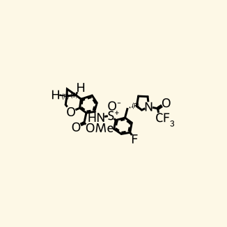 COC(=O)c1c(N[S+]([O-])c2ccc(F)cc2C[C@@H]2CCN(C(=O)C(F)(F)F)C2)ccc2c1OC[C@@H]1C[C@H]21